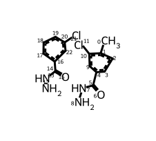 Cc1ccc(C(=O)NN)cc1Cl.NNC(=O)c1cccc(Cl)c1